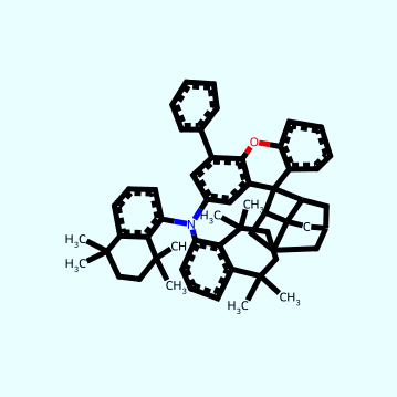 CC1(C)CCC(C)(C)c2c(N(c3cc(-c4ccccc4)c4c(c3)C3(c5ccccc5O4)C4CC5CC6CC3C64C5)c3cccc4c3C(C)(C)CCC4(C)C)cccc21